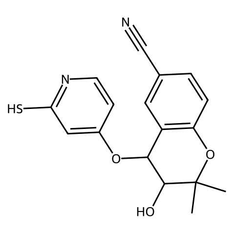 CC1(C)Oc2ccc(C#N)cc2C(Oc2ccnc(S)c2)C1O